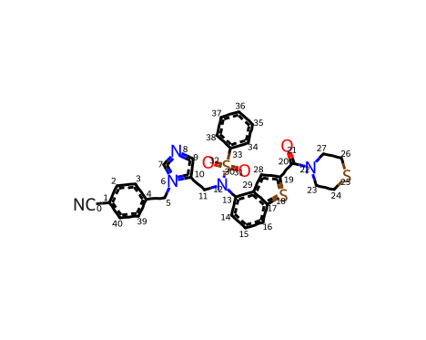 N#Cc1ccc(Cn2cncc2CN(c2cccc3sc(C(=O)N4CCSCC4)cc23)S(=O)(=O)c2ccccc2)cc1